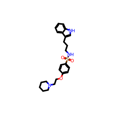 O=S(=O)(NCCCc1c[nH]c2ccccc12)c1ccc(OCCN2CCCCC2)cc1